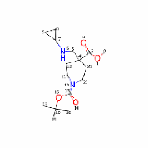 COC(=O)C1(CNC2CC2)CCN(C(=O)OC(C)(C)C)CC1